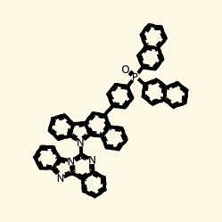 O=P(c1ccc(-c2cc3c4ccccc4n(-c4nc5ccccc5c5nc6ccccc6n45)c3c3ccccc23)cc1)(c1ccc2ccccc2c1)c1ccc2ccccc2c1